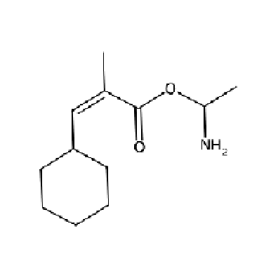 CC(=CC1CCCCC1)C(=O)OC(C)N